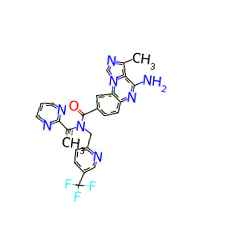 Cc1ncn2c1c(N)nc1ccc(C(=O)N(Cc3ccc(C(F)(F)F)cn3)[C@H](C)c3ncccn3)cc12